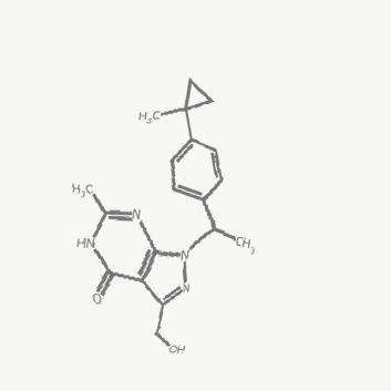 Cc1nc2c(c(CO)nn2C(C)c2ccc(C3(C)CC3)cc2)c(=O)[nH]1